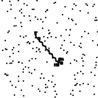 C#CCOCCCCCCCCCCCP(=O)(O)O